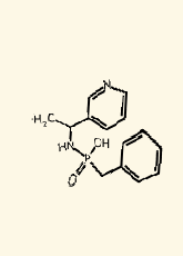 [CH2]C(NP(=O)(O)Cc1ccccc1)c1cccnc1